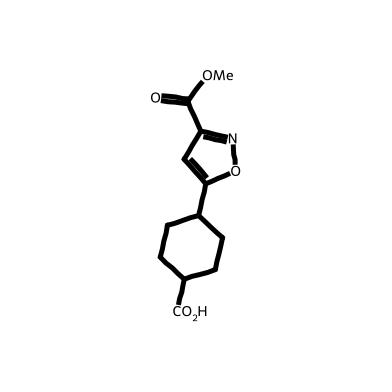 COC(=O)c1cc(C2CCC(C(=O)O)CC2)on1